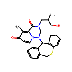 Cc1c2n(ccc1=O)N(C1C3=C(C=CCC3)SCc3ccccc31)CN(CC(C)CO)C2=O